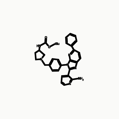 CC(C)(C)OC(=O)NC1CCN(Cc2ccc(-n3c(-c4cccnc4N)nc4ccc(-c5ccccc5)nc43)cc2)C1